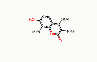 CNc1c(NC)c2ccc(O)c(NC)c2oc1=O